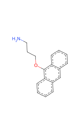 NCCCOc1c2ccccc2cc2ccccc12